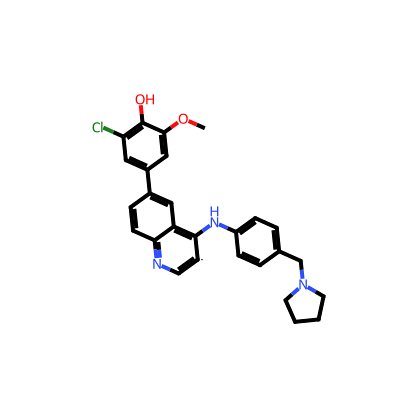 COc1cc(-c2ccc3nc[c]c(Nc4ccc(CN5CCCC5)cc4)c3c2)cc(Cl)c1O